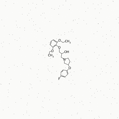 CCOc1cccc(OCC)c1OCC(O)CN1CCC(Oc2ccc(F)cc2)C1